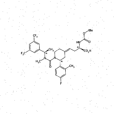 Cc1cc(F)ccc1[C@H]1CC(=CC[C@@H](NC(=O)OC(C)(C)C)C(=O)O)CCN1C(=O)N(C)[C@H](C)c1cc(C(F)(F)F)cc(C(F)(F)F)c1